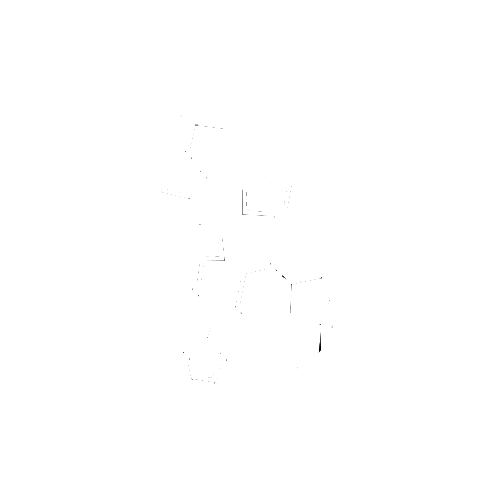 CC(C)n1ccc(-c2sc3nc(-c4nccn4C)nc(N[C@H]4CC[C@@H](C=O)C4)c3c2-c2ccccc2)n1